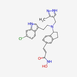 Cc1n[nH]cc1CN(CCc1c[nH]c2cc(Cl)ccc12)C1CCc2cc(C=CC(=O)NO)ccc21